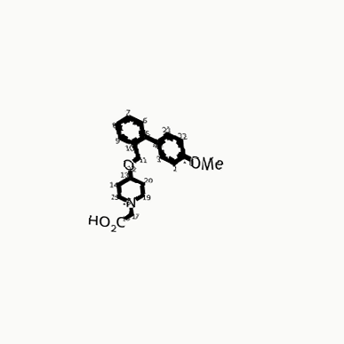 COc1ccc(-c2ccccc2COC2CCN(CC(=O)O)CC2)cc1